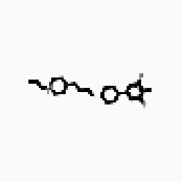 CCC[SiH]1CCC(CCCC[C@H]2CC[C@H](c3cc(F)c(F)c(F)c3)CC2)CC1